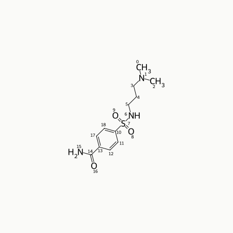 CN(C)CCCNS(=O)(=O)c1ccc(C(N)=O)cc1